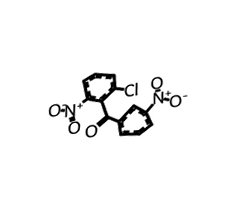 O=C(c1cccc([N+](=O)[O-])c1)c1c(Cl)cccc1[N+](=O)[O-]